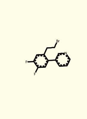 Fc1cc(CCBr)c(-c2cccnc2)cc1F